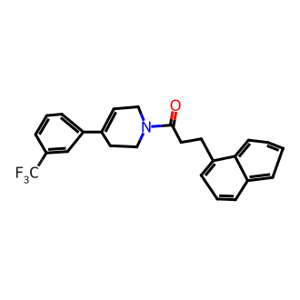 O=C(CCc1cccc2ccccc12)N1CC=C(c2cccc(C(F)(F)F)c2)CC1